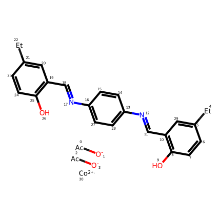 CC(=O)[O-].CC(=O)[O-].CCc1ccc(O)c(C=Nc2ccc(N=Cc3cc(CC)ccc3O)cc2)c1.[Co+2]